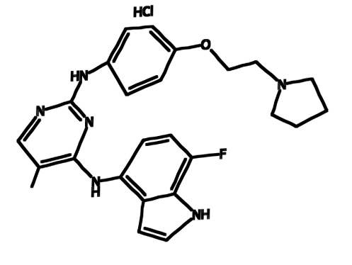 Cc1cnc(Nc2ccc(OCCN3CCCC3)cc2)nc1Nc1ccc(F)c2[nH]ccc12.Cl